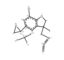 CC1(CN=[N+]=[N-])COc2c1cc([C@@]1(C(F)(F)F)CO1)nc2Cl